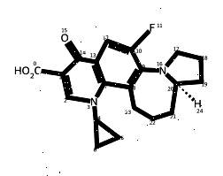 O=C(O)c1cn(C2CC2)c2c3c(c(F)cc2c1=O)N1CCC[C@H]1CCC3